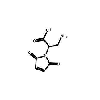 NC[C@H](C(=O)O)N1C(=O)C=CC1=O